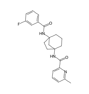 Cc1cccc(C(=O)NC23CCCC(NC(=O)c4cccc(F)c4)(CC2)C3)n1